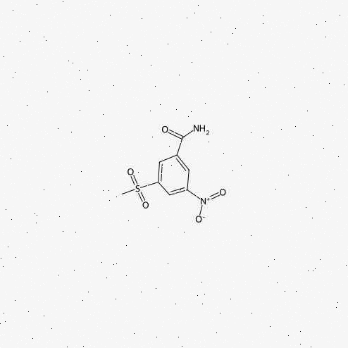 CS(=O)(=O)c1cc(C(N)=O)cc([N+](=O)[O-])c1